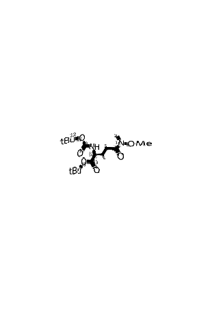 CON(C)C(=O)CC[C@H](NC(=O)OC(C)(C)C)C(=O)OC(C)(C)C